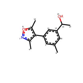 Cc1cc(-c2c(C)noc2C)cc(C(C)O)c1